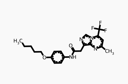 CCCCCOc1ccc(NC(=O)Cc2ncn3c(C(F)(F)F)cc(C)nc23)cc1